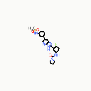 CS(=O)(=O)Nc1cccc(-c2cnc3[nH]c(-c4cc(NC(=O)N5CCCC5)ccc4F)nc3c2)c1